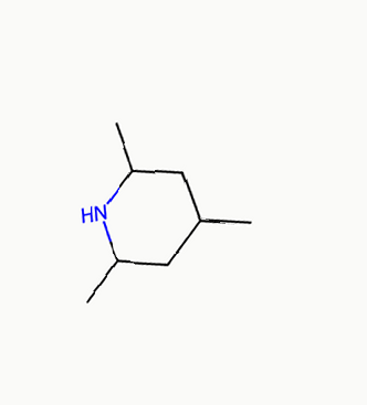 CC1CC(C)NC(C)C1